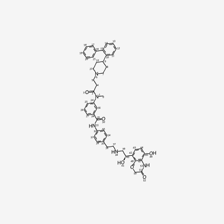 CN(C(=O)CCN1CCC(c2ccccc2-c2ccccc2)CC1)c1cccc(C(=O)Nc2ccc(CCNC[C@H](O)c3ccc(O)c4c3OCC(=O)N4)cc2)c1